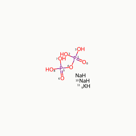 O=P(O)(O)OP(=O)(O)O.[KH].[NaH].[NaH]